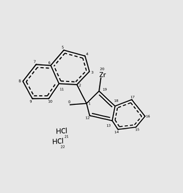 CC1(c2cccc3ccccc23)C=c2ccccc2=[C]1[Zr].Cl.Cl